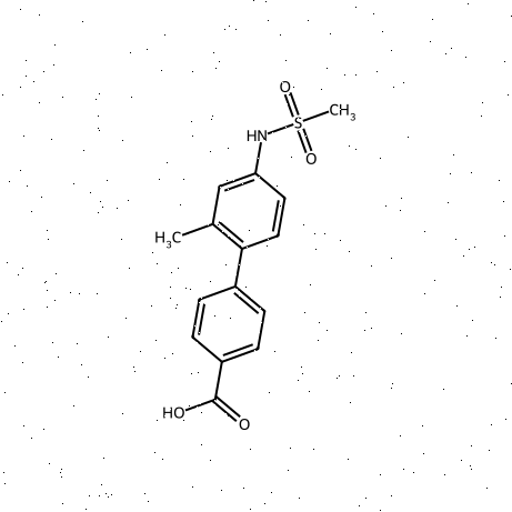 Cc1cc(NS(C)(=O)=O)ccc1-c1ccc(C(=O)O)cc1